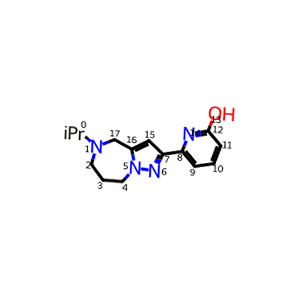 CC(C)N1CCCn2nc(-c3cccc(O)n3)cc2C1